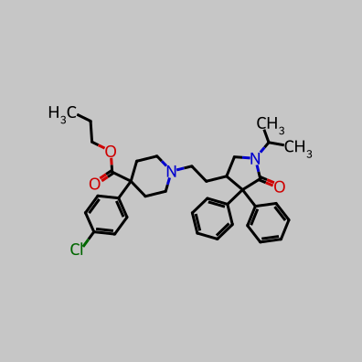 CCCOC(=O)C1(c2ccc(Cl)cc2)CCN(CCC2CN(C(C)C)C(=O)C2(c2ccccc2)c2ccccc2)CC1